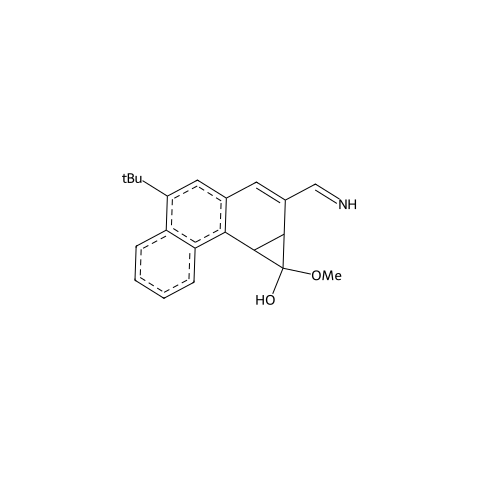 COC1(O)C2C(C=N)=Cc3cc(C(C)(C)C)c4ccccc4c3C21